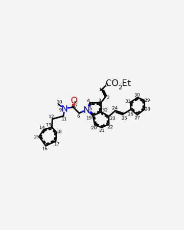 CCOC(=O)C=Cc1cn(CC(=O)N(C)CCc2ccccc2)c2cccc(C=Cc3ccccc3)c12